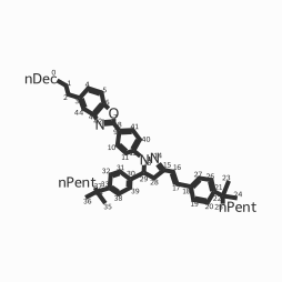 CCCCCCCCCCCCc1ccc2oc(-c3ccc(N4N=C(C=Cc5ccc(C(C)(C)CCCCC)cc5)CC4c4ccc(C(C)(C)CCCCC)cc4)cc3)nc2c1